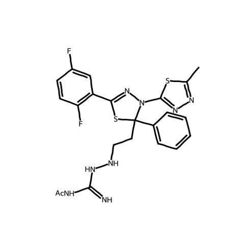 CC(=O)NC(=N)NNCCC1(c2ccccc2)SC(c2cc(F)ccc2F)=NN1c1nnc(C)s1